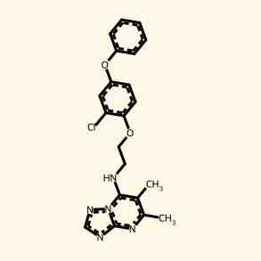 Cc1nc2ncnn2c(NCCOc2ccc(Oc3ccccc3)cc2Cl)c1C